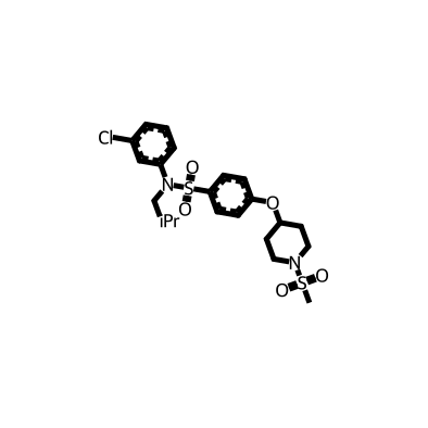 CC(C)CN(c1cccc(Cl)c1)S(=O)(=O)c1ccc(OC2CCN(S(C)(=O)=O)CC2)cc1